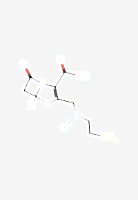 NCC[S+]([O-])CC1=C(C(=O)O)N2C(=O)C[C@H]2S1